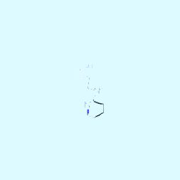 CN(CCOC(C)(C)C)c1ccccn1